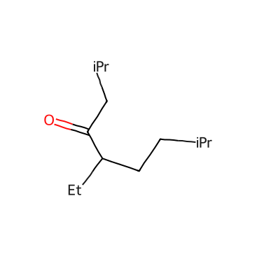 CCC(CCC(C)C)C(=O)CC(C)C